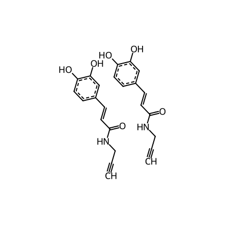 C#CCNC(=O)C=Cc1ccc(O)c(O)c1.C#CCNC(=O)C=Cc1ccc(O)c(O)c1